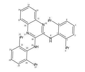 CC(C)c1cccc(C(C)C)c1Nc1nc2ccccc2nc1Nc1c(C(C)C)cccc1C(C)C